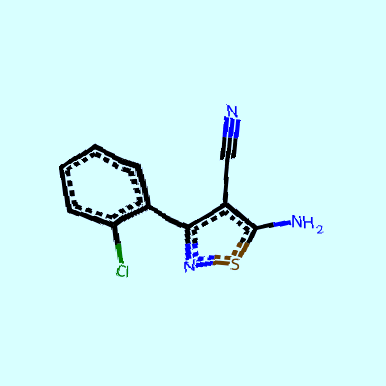 N#Cc1c(-c2ccccc2Cl)nsc1N